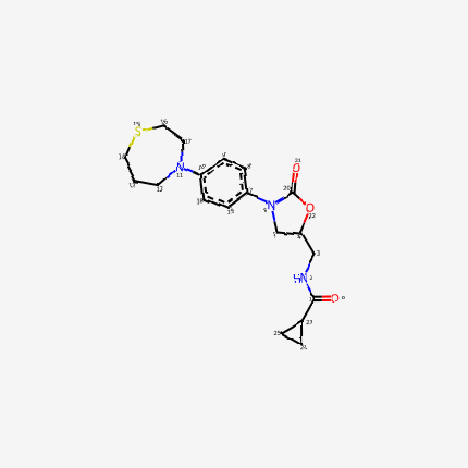 O=C(NCC1CN(c2ccc(N3CCCSCC3)cc2)C(=O)O1)C1CC1